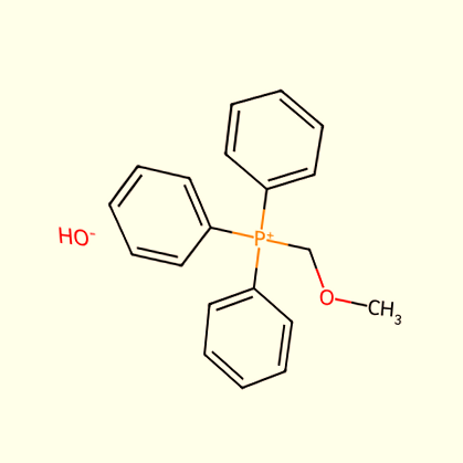 COC[P+](c1ccccc1)(c1ccccc1)c1ccccc1.[OH-]